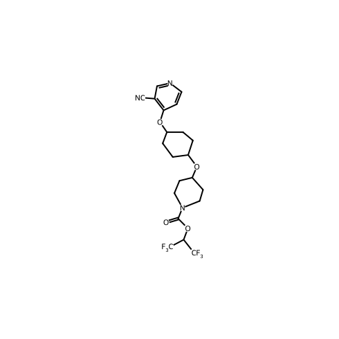 N#Cc1cnccc1OC1CCC(OC2CCN(C(=O)OC(C(F)(F)F)C(F)(F)F)CC2)CC1